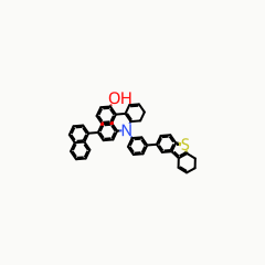 Oc1ccccc1C1=C(N(c2ccc(-c3cccc4ccccc34)cc2)c2cccc(-c3ccc4sc5c(c4c3)C=CCC5)c2)CCC=C1